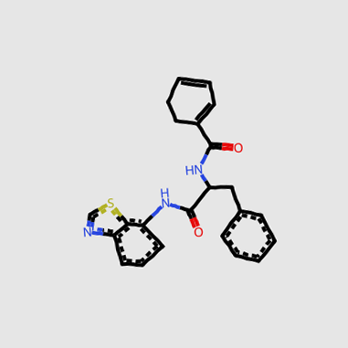 O=C(NC(Cc1ccccc1)C(=O)Nc1cccc2ncsc12)C1=CC=CCC1